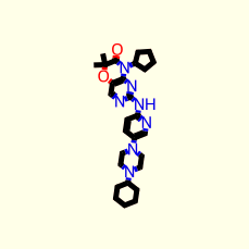 CC1(C)Oc2cnc(Nc3ccc(N4CCN(C5CCCCC5)CC4)cn3)nc2N(C2CCCC2)C1=O